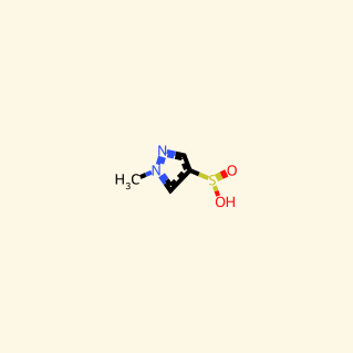 Cn1cc(S(=O)O)cn1